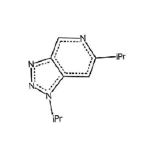 CC(C)c1cc2c(cn1)nnn2C(C)C